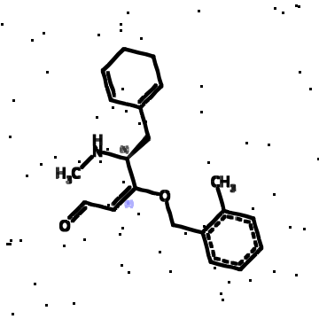 CN[C@@H](CC1=CCCC=C1)/C(=C\C=O)OCc1ccccc1C